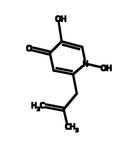 C=C(C)Cc1cc(=O)c(O)cn1O